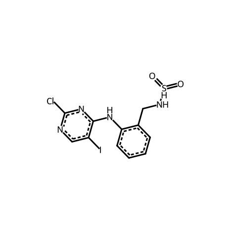 O=[SH](=O)NCc1ccccc1Nc1nc(Cl)ncc1I